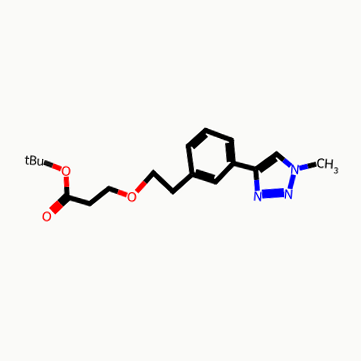 Cn1cc(-c2cccc(CCOCCC(=O)OC(C)(C)C)c2)nn1